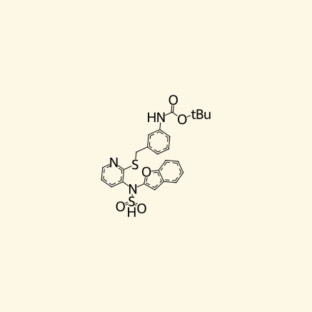 CC(C)(C)OC(=O)Nc1cccc(CSc2ncccc2N(c2cc3ccccc3o2)[SH](=O)=O)c1